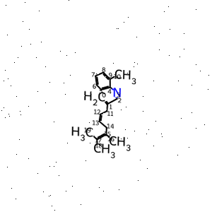 C=C(/C=N\c1ccccc1C)C/C=C\CC(C)=C(C)C